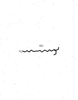 CCC(=CCCCCCCCCCCCCCN)CC.Cl